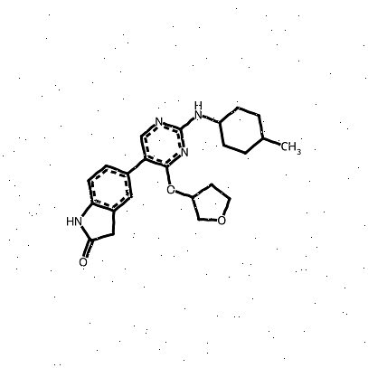 CC1CCC(Nc2ncc(-c3ccc4c(c3)CC(=O)N4)c(OC3CCOC3)n2)CC1